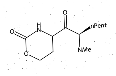 CCCCC[C@@H](NC)C(=O)C1CCOC(=O)N1